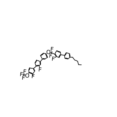 CCCCCc1ccc(-c2ccc(C(F)(F)Oc3ccc(-c4ccc(-c5ccc(OC(F)(F)F)c(F)c5)c(F)c4)cc3)c(F)c2)cc1